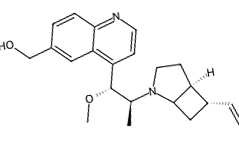 C=C[C@@H]1CC2[C@H]1CCN2[C@@H](C)[C@H](OC)c1ccnc2ccc(CO)cc12